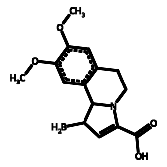 BC1C=C(C(=O)O)N2CCc3cc(OC)c(OC)cc3C12